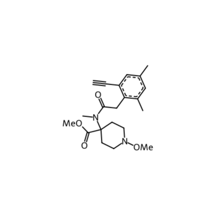 C#Cc1cc(C)cc(C)c1CC(=O)N(C)C1(C(=O)OC)CCN(OC)CC1